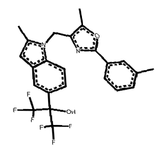 Cc1cccc(-c2nc(Cn3c(C)cc4cc(C(O)(C(F)(F)F)C(F)(F)F)ccc43)c(C)o2)c1